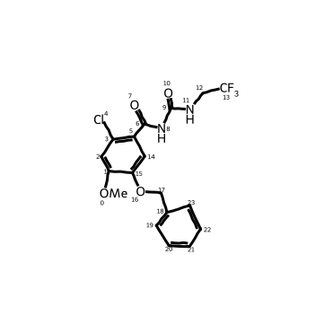 COc1cc(Cl)c(C(=O)NC(=O)NCC(F)(F)F)cc1OCc1ccccc1